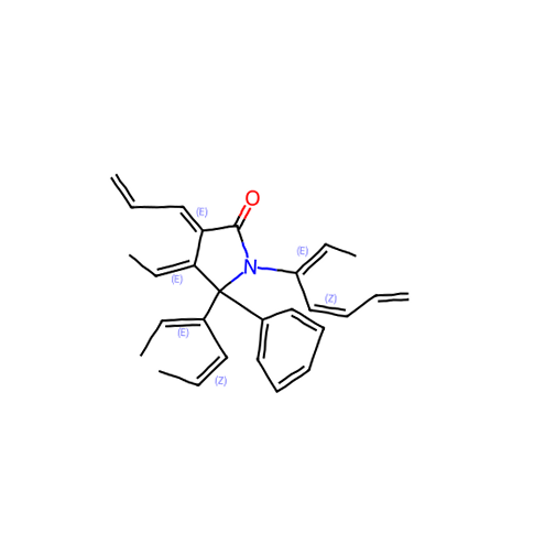 C=C/C=C\C(=C/C)N1C(=O)C(=C/C=C)/C(=C\C)C1(C(/C=C\C)=C/C)c1ccccc1